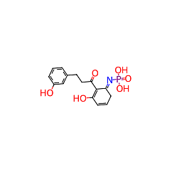 O=C(CCc1cccc(O)c1)C1=C(O)C=CCC1=NP(=O)(O)O